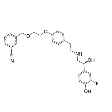 N#Cc1cccc(COCCOc2ccc(CCNC[C@@H](O)c3ccc(O)c(F)c3)cc2)c1